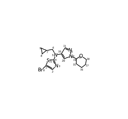 Brc1cnc(N(CC2CC2)c2cnn(C3CCCCO3)c2)s1